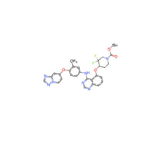 Cc1cc(Nc2ncnc3cccc(OC4CCN(C(=O)OC(C)(C)C)CC4(F)F)c23)ccc1Oc1ccn2ncnc2c1